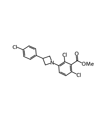 COC(=O)c1c(Cl)ccc(N2CC(c3ccc(Cl)cc3)C2)c1Cl